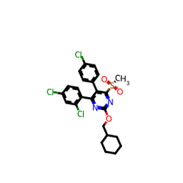 CS(=O)(=O)c1nc(OCC2CCCCC2)nc(-c2ccc(Cl)cc2Cl)c1-c1ccc(Cl)cc1